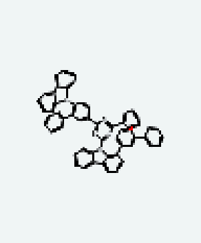 c1ccc(-c2cccc(-c3cccc4c5ccccc5n(-c5nc(-c6ccccc6)nc(-c6ccc(-n7c8ccccc8c8ccccc87)c(-c7ccccc7)c6)n5)c34)c2)cc1